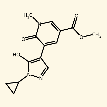 COC(=O)c1cc(-c2cnn(C3CC3)c2O)c(=O)n(C)c1